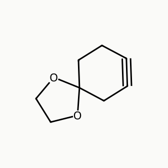 C1#CCC2(CC1)OCCO2